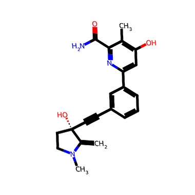 C=C1N(C)CC[C@@]1(O)C#Cc1cccc(-c2cc(O)c(C)c(C(N)=O)n2)c1